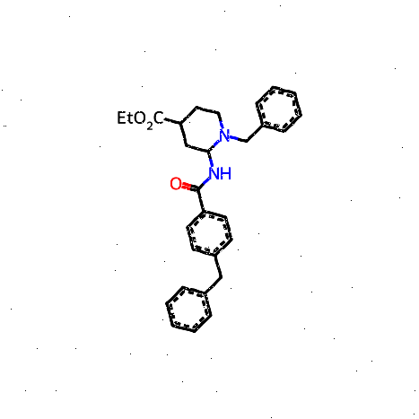 CCOC(=O)C1CCN(Cc2ccccc2)C(NC(=O)c2ccc(Cc3ccccc3)cc2)C1